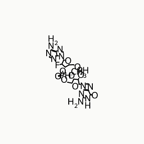 COC1C2CO[PH](=O)OC3C(COPOC1C(n1cnc4c(=O)[nH]c(N)nc41)O2)OC(n1cnc2c(N)ncnc21)C3F